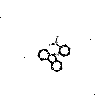 O=[N+]([O-])c1ccccc1.c1ccc2c(c1)[nH]c1ccccc12